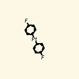 Fc1cc[c]([Pt][c]2ccc(F)cc2)cc1